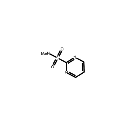 CNS(=O)(=O)c1ncccn1